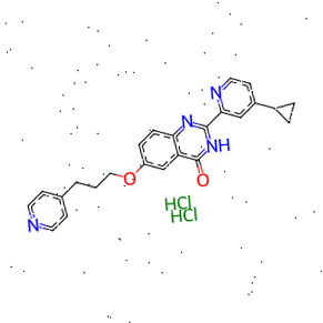 Cl.Cl.O=c1[nH]c(-c2cc(C3CC3)ccn2)nc2ccc(OCCCc3ccncc3)cc12